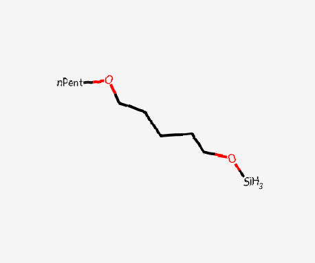 CCCCCOCCCCCO[SiH3]